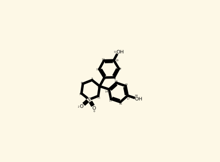 O=S1(=O)CCCC(c2ccc(O)cc2)(c2ccc(O)cc2)C1